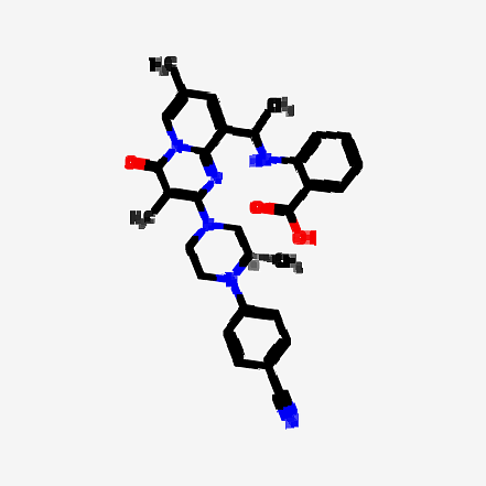 Cc1cc(C(C)Nc2ccccc2C(=O)O)c2nc(N3CCN(c4ccc(C#N)cc4)[C@@H](C)C3)c(C)c(=O)n2c1